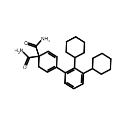 NC(=O)C1(C(N)=O)C=CC(c2cccc(C3CCCCC3)c2C2CCCCC2)=CC1